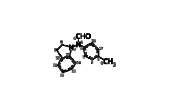 Cc1ccc(N(C=O)N2CCc3ccccc32)cc1